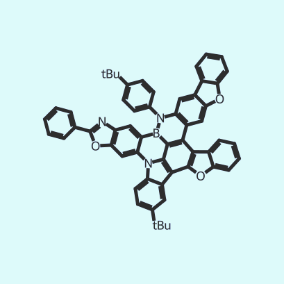 CC(C)(C)c1ccc(N2B3c4cc5nc(-c6ccccc6)oc5cc4-n4c5ccc(C(C)(C)C)cc5c5c6oc7ccccc7c6c(c3c54)-c3cc4oc5ccccc5c4cc32)cc1